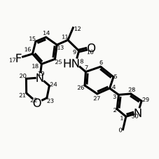 Cc1cc(-c2ccc(NC(=O)C(C)c3ccc(F)c(N4CCOCC4)c3)cc2)ccn1